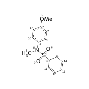 COc1ccc(N(C)S(=O)(=O)C2C=CC=CC2)cc1